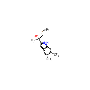 CCCSCC(C)(O)c1cc2cc([N+](=O)[O-])c(C(F)(F)F)cc2[nH]1